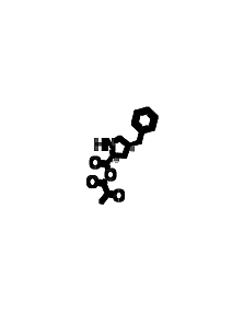 CC(=O)C(=O)OC(=O)[C@@H]1C[C@H](Cc2ccccc2)CN1